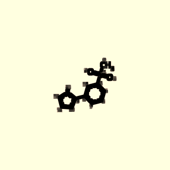 CS(=O)(=O)c1cccc(-c2cccs2)c1